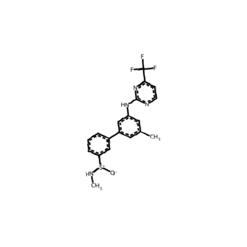 CN[S+]([O-])c1cccc(-c2cc(C)cc(Nc3nccc(C(F)(F)F)n3)c2)c1